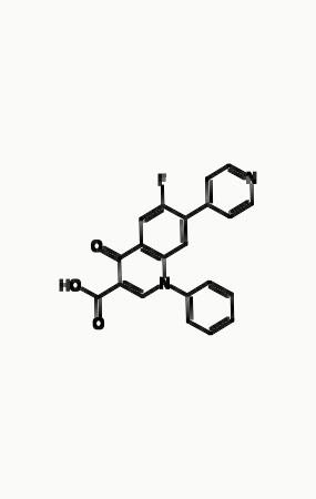 O=C(O)c1cn(-c2ccccc2)c2cc(-c3ccncc3)c(F)cc2c1=O